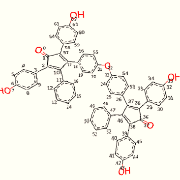 O=C1C(c2ccc(O)cc2)=C(c2ccccc2)C(c2ccc(Oc3ccc(C4=C(c5ccc(O)cc5)C(=O)C(c5ccc(O)cc5)=C4c4ccccc4)cc3)cc2)=C1c1ccc(O)cc1